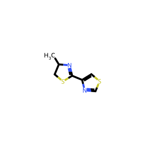 CC1CSC(c2cscn2)=N1